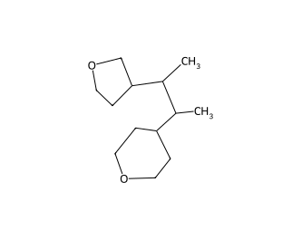 CC(C1CCOCC1)C(C)C1CCOC1